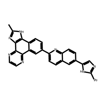 Cc1nc2c3nccnc3c3cc(-c4ccc5cc(-c6cnc(C(C)C)[nH]6)ccc5n4)ccc3c2[nH]1